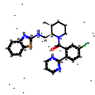 C[C@@H]1CCCN(C(=O)c2cc(F)ccc2-c2ncccn2)[C@@H]1CNc1nc2ccccc2s1